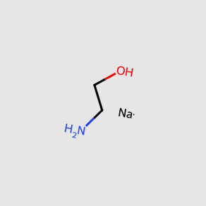 NCCO.[Na]